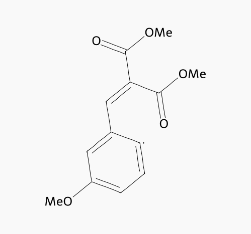 COC(=O)C(=Cc1[c]ccc(OC)c1)C(=O)OC